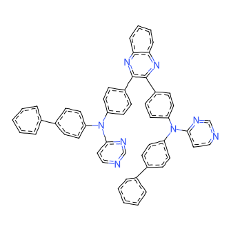 c1ccc(-c2ccc(N(c3ccc(-c4nc5ccccc5nc4-c4ccc(N(c5ccc(-c6ccccc6)cc5)c5ccncn5)cc4)cc3)c3ccncn3)cc2)cc1